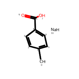 [CH]c1ccc(C(=O)O)cc1.[NaH]